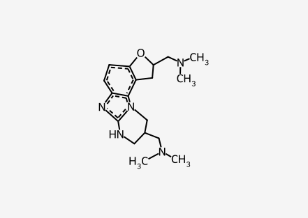 CN(C)CC1CNc2nc3ccc4c(c3n2C1)CC(CN(C)C)O4